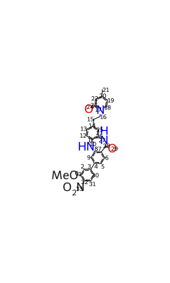 COc1cc(-c2ccc3c(c2)Nc2ccc(CCn4ccc(C)cc4=O)cc2NC3=O)ccc1[N+](=O)[O-]